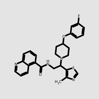 Cc1ncsc1C(CNC(=O)c1cccc2ncccc12)N1CCC(Oc2cccc(F)c2)CC1